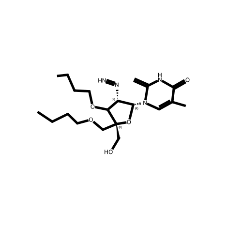 C=C1NC(=O)C(C)=CN1[C@@H]1O[C@](CO)(COCCCC)C(OCCCC)[C@@H]1N=N